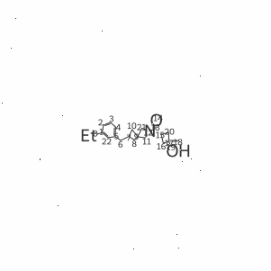 CCc1cccc(CC2CC3(C2)CN(C(=O)[C@H]2C[C@@](C)(O)C2)C3)c1